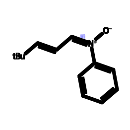 CC(C)(C)C=C/C=[N+](/[O-])c1ccccc1